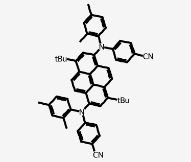 Cc1ccc(N(c2ccc(C#N)cc2)c2cc(C(C)(C)C)c3ccc4c(N(c5ccc(C#N)cc5)c5ccc(C)cc5C)cc(C(C)(C)C)c5ccc2c3c45)c(C)c1